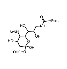 CCCC(C)C(=O)NCC(O)C(O)C1OC(O)(OC=O)CC(O)C1NC(C)=O